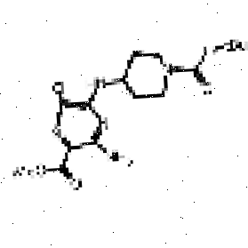 COC(=O)c1nc(Cl)c(NC2CCN(C(=O)OC(C)(C)C)CC2)nc1N